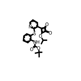 CC(C)Oc1c(-c2cccnc2Sc2ccccc2NC(=O)OC(C)(C)C)c(=O)c1=O